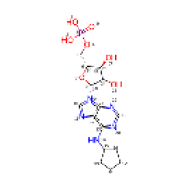 O=P(O)(O)OC[C@H]1O[C@@H](n2cnc3c(NC4CCCC4)ncnc32)C(O)[C@@H]1O